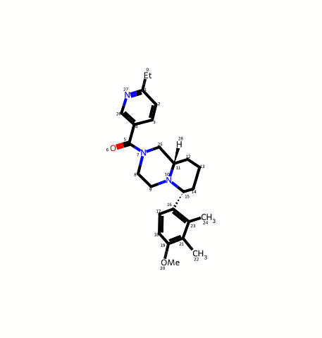 CCc1ccc(C(=O)N2CCN3[C@@H](CCC[C@@H]3c3ccc(OC)c(C)c3C)C2)cn1